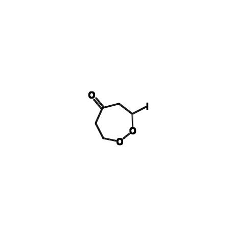 O=C1CCOOC(I)C1